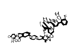 Cc1nc(OC2CN3c4cc(-c5cccc(F)c5O)nnc4NCC3(C(F)F)C2)nc(C)c1CN1CCN(c2ccc3c(c2)C(=O)N(C2CCC(=O)NC2=O)C3)CC1